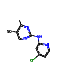 Cc1nc(Nc2cc(Cl)ccn2)ncc1C#N